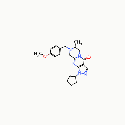 COc1ccc(CN2Cc3nc4c(cnn4C4CCCC4)c(=O)n3CC2C)cc1